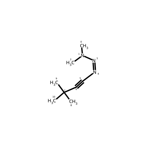 CN(C)/N=N\C#CC(C)(C)C